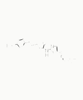 O=C(O)CSc1cnc(NC(=O)CCCCc2ccc(C(F)(F)F)cc2)s1